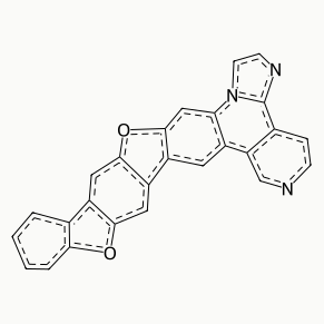 c1ccc2c(c1)oc1cc3c(cc12)oc1cc2c(cc13)c1cnccc1c1nccn21